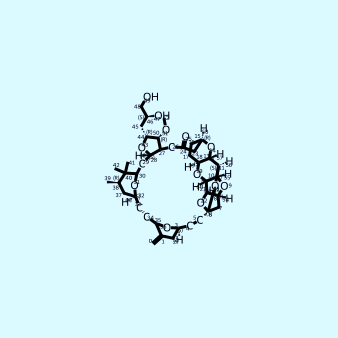 C=C1C[C@@H]2CC[C@@]34C[C@H]5O[C@H]6[C@@H](O3)[C@H]3O[C@H](CC[C@@H]3O[C@H]6[C@H]5O4)CC(=O)CC3[C@H](CC4O[C@@H](CCC1O2)C[C@@H](C)C4(C)C)O[C@H](C[C@H](O)CO)[C@@H]3OC